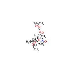 C=C(C)C(=O)OC.C=C(C)C(=O)OCCOC(=O)C(=C)C.C=CCOC(=O)C(=C)C.C=CN1CCCC1=O